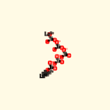 [Ba+2].[Ba+2].[La+3].[La+3].[O]=[Ti]([O-])[O-].[O]=[Ti]([O-])[O-].[O]=[Ti]([O-])[O-].[O]=[Ti]([O-])[O-].[O]=[Ti]([O-])[O-]